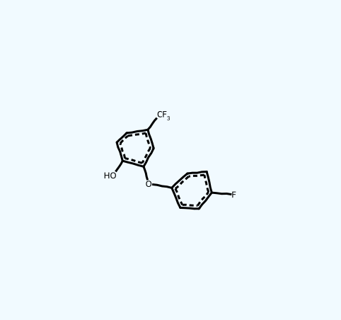 Oc1ccc(C(F)(F)F)cc1Oc1ccc(F)cc1